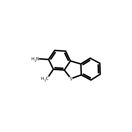 Cc1c(N)ccc2c1sc1ccccc12